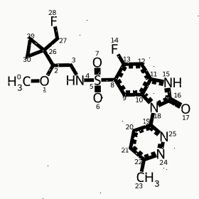 COC(CNS(=O)(=O)c1cc2c(cc1F)[nH]c(=O)n2-c1ccc(C)nn1)C1(CF)CC1